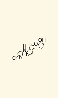 O[C@@H]1CCCC[C@H]1Oc1ccc2c(Nc3ccc(Cl)nc3)nccc2c1